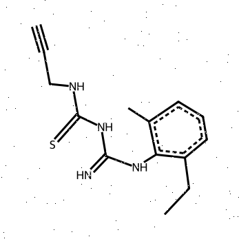 C#CCNC(=S)NC(=N)Nc1c(C)cccc1CC